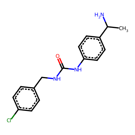 CC(N)c1ccc(NC(=O)NCc2ccc(Cl)cc2)cc1